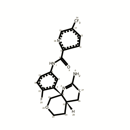 NC1=N[C@@]2(c3cc(NC(=O)c4ccc(C(F)(F)F)cn4)ccc3F)COCC[C@H]2CS1